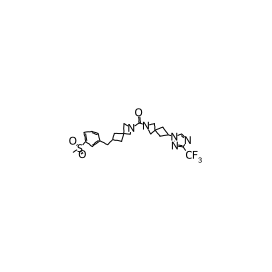 CS(=O)(=O)c1cccc(CC2CC3(C2)CN(C(=O)N2CC4(CC(n5cnc(C(F)(F)F)n5)C4)C2)C3)c1